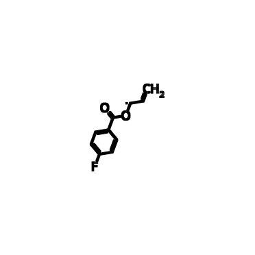 C=C[CH]OC(=O)c1ccc(F)cc1